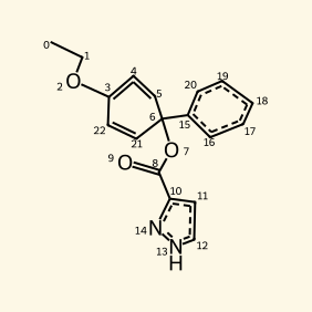 CCOC1=C=CC(OC(=O)c2cc[nH]n2)(c2ccccc2)C=C1